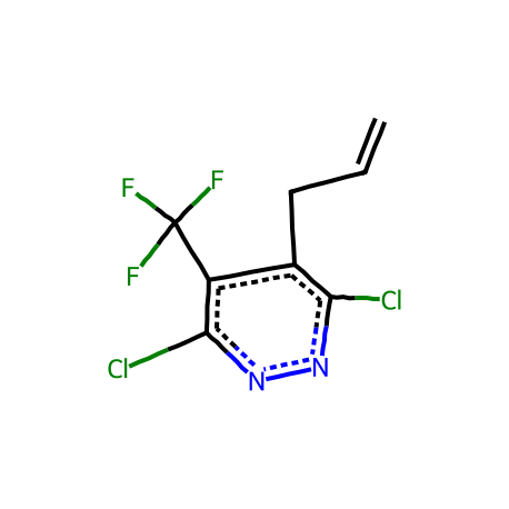 C=CCc1c(Cl)nnc(Cl)c1C(F)(F)F